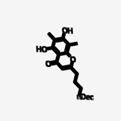 CCCCCCCCCCCCCc1cc(=O)c2c(O)c(C)c(O)c(C)c2o1